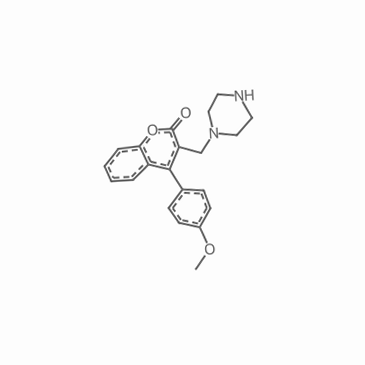 COc1ccc(-c2c(CN3CCNCC3)c(=O)oc3ccccc23)cc1